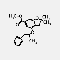 COC(=O)c1cc(OC(C)Cc2ccccc2)c2c(c1)OC(C)(C)C2